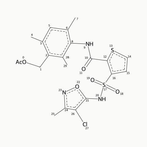 CC(=O)OCc1c(C)cc(C)c(NC(=O)c2sccc2S(=O)(=O)Nc2onc(C)c2Cl)c1C